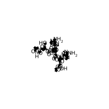 CO[C@@H]1[C@H](OP(=O)(O)OC[C@H]2C[C@H](n3cc(C)c(=O)[nH]c3=O)O[C@@H]2CO)[C@@H](COP(=O)(O)O[C@H]2[C@@H](C)[C@H](n3cnc4c(N)ncnc43)O[C@@H]2COP(=O)(O)OC(C)C)O[C@H]1n1cnc2c(N)ncnc21